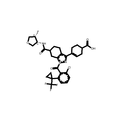 O=C(O)C1CC=C(c2nn(C(=O)c3c(Cl)cccc3C3(C(F)(F)F)CC3)c3c2CCC(C(=O)N[C@@H]2COC[C@@H]2F)C3)CC1